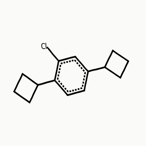 Clc1cc(C2CCC2)ccc1C1CCC1